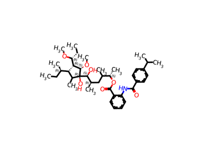 CC[C@@H](C)C1C(C)[C@@](O)([C@@H](O)[C@H](C)CC(C)[C@H](C)OC(=O)c2ccccc2NC(=O)c2ccc(C(C)C)cc2)[C@@H](OC)[C@H]1[C@@H](CC)OC